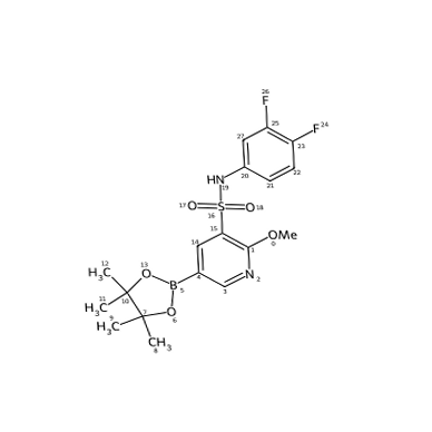 COc1ncc(B2OC(C)(C)C(C)(C)O2)cc1S(=O)(=O)Nc1ccc(F)c(F)c1